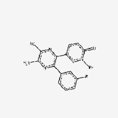 CC(C)n1nc(-c2nc(C#N)c(N)nc2-c2cccc(F)c2)ccc1=O